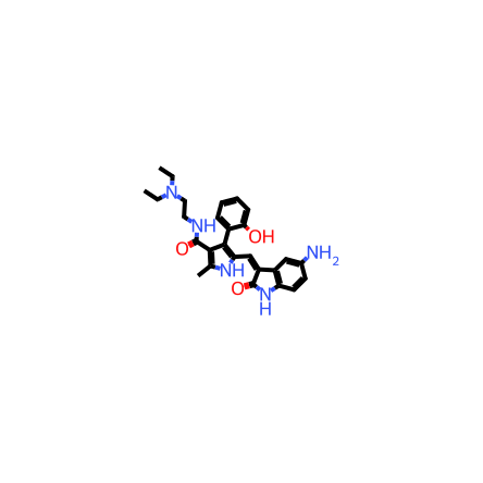 CCN(CC)CCNC(=O)c1c(C)[nH]c(C=C2C(=O)Nc3ccc(N)cc32)c1-c1ccccc1O